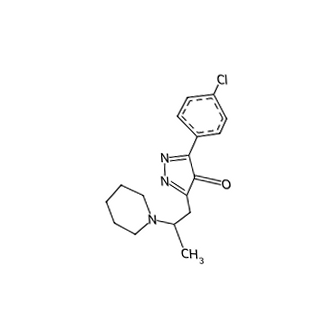 CC(CC1=NN=C(c2ccc(Cl)cc2)C1=O)N1CCCCC1